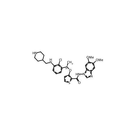 COc1cc2ncn(NC(=O)c3sccc3O[C@H](C)c3cccc(NCC4CCNCC4)c3Cl)c2cc1OC